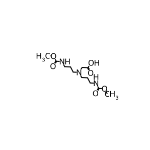 COC(=O)NCCCN(CCCNC(=O)OC)CC(=O)O